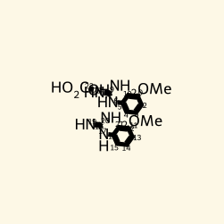 COc1cccc(NC(=N)N)c1.COc1cccc(NC(=N)N)c1.O=C(O)O